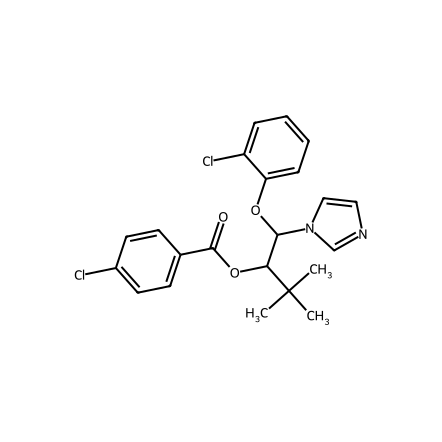 CC(C)(C)C(OC(=O)c1ccc(Cl)cc1)C(Oc1ccccc1Cl)n1ccnc1